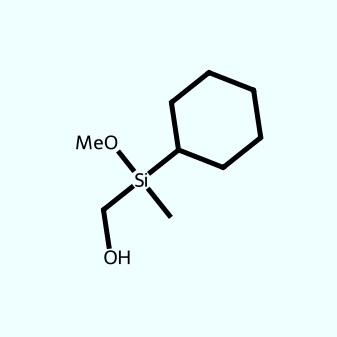 CO[Si](C)(CO)C1CCCCC1